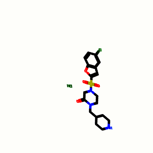 Cl.O=C1CN(S(=O)(=O)c2cc3cc(Cl)ccc3o2)CCN1CC1CCNCC1